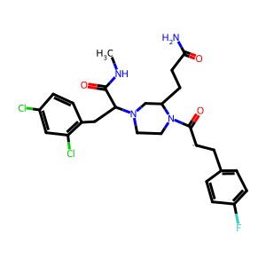 CNC(=O)C(Cc1ccc(Cl)cc1Cl)N1CCN(C(=O)[CH]Cc2ccc(F)cc2)C(CCC(N)=O)C1